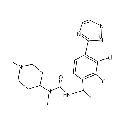 CC(NC(=O)N(C)C1CCN(C)CC1)c1ccc(-c2nccnn2)c(Cl)c1Cl